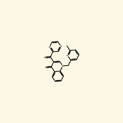 Cc1cccc(Cn2cc(C(=O)c3cnccn3)c(=O)c3ccccc32)n1